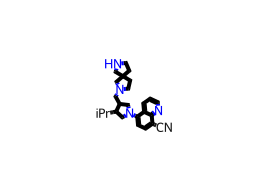 CC(C)C1CN(c2ccc(C#N)c3ncccc23)CC1CN1CCC2(CCNC2)C1